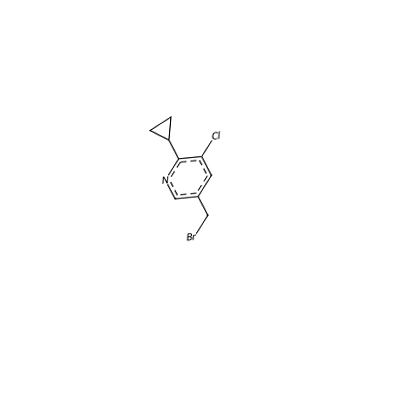 Clc1cc(CBr)cnc1C1CC1